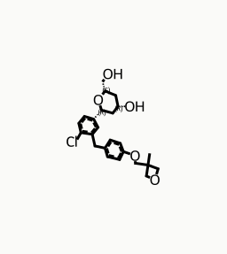 CC1(COc2ccc(Cc3cc([C@H]4C[C@@H](O)C[C@@H](CO)O4)ccc3Cl)cc2)COC1